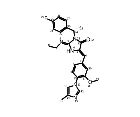 CC/N=C1\N/C(=C\c2ccc(-n3cnc(C)c3)c(OC)c2)C(=O)N1[C@@H](C)c1ccc(F)cc1